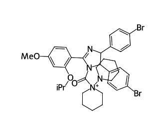 COc1ccc(C2=NC(c3ccc(Br)cc3)C(c3ccc(Br)cc3)N2C(=O)[N+]2(N3CCCCC3)CCCCC2)c(OC(C)C)c1